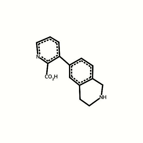 O=C(O)c1ncccc1-c1ccc2c(c1)CCNC2